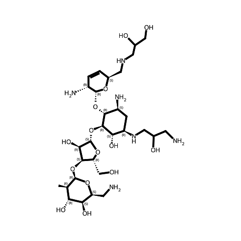 C[C@H]1[C@@H](O[C@H]2[C@@H](O)[C@H](O[C@@H]3[C@@H](O)[C@H](NCC(O)CN)C[C@H](N)[C@H]3O[C@H]3O[C@H](CNCC(O)CO)C=C[C@H]3N)O[C@@H]2CO)O[C@@H](CN)[C@@H](O)[C@@H]1O